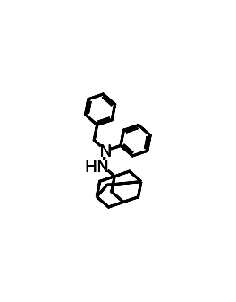 c1ccc(CN(NC23CC4CC(CC(C4)C2)C3)c2ccccc2)cc1